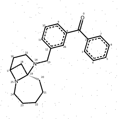 O=C(c1ccccc1)c1cccc(CN2CCC3C[C@@]24CCCCCN34)c1